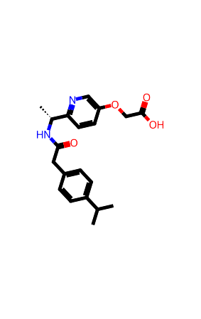 CC(C)c1ccc(CC(=O)N[C@H](C)c2ccc(OCC(=O)O)cn2)cc1